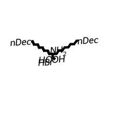 Br.CCCCCCCCCCCCCCCCCCC(N)(CCCCCCCCCCCCCCCCCC)C(O)O